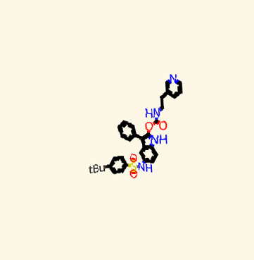 CC(C)(C)c1ccc(S(=O)(=O)Nc2ccc3[nH]c(OC(=O)NCCc4cccnc4)c(-c4ccccc4)c3c2)cc1